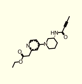 CC#CC(=O)N[C@@H]1CCCN(c2ccnc(CC(=O)OCC)c2)C1